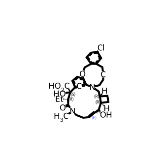 CC[C@H]1C(=O)N(C)CC/C=C/[C@H](O)[C@@H]2CC[C@H]2CN2CCCCc3cc(Cl)ccc3COc3ccc(cc32)[C@]1(O)C(=O)O